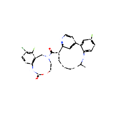 O=C1Nc2ccc(Cl)c(F)c2CN(C(=O)C2CCCCC(C(=O)O)Nc3ccc(F)cc3-c3ccnc2c3)CCO1